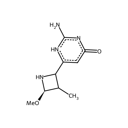 CO[C@H]1NC(c2cc(=O)nc(N)[nH]2)C1C